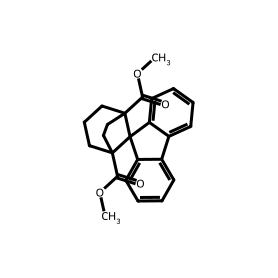 COC(=O)C12CCCC(C(=O)OC)(CC1)C21c2ccccc2-c2ccccc21